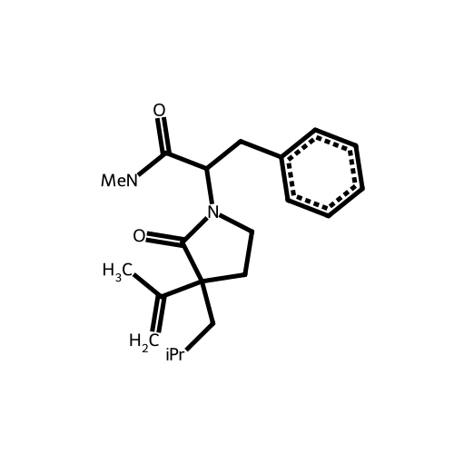 C=C(C)C1(CC(C)C)CCN(C(Cc2ccccc2)C(=O)NC)C1=O